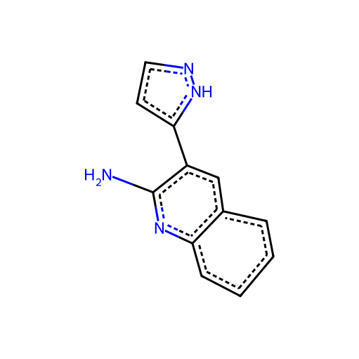 Nc1nc2ccccc2cc1-c1ccn[nH]1